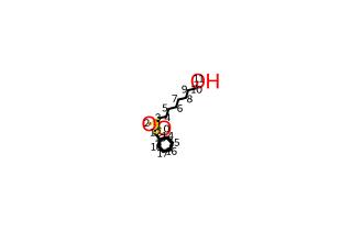 O=S(=O)(CCCCCCCCO)Cc1ccccc1